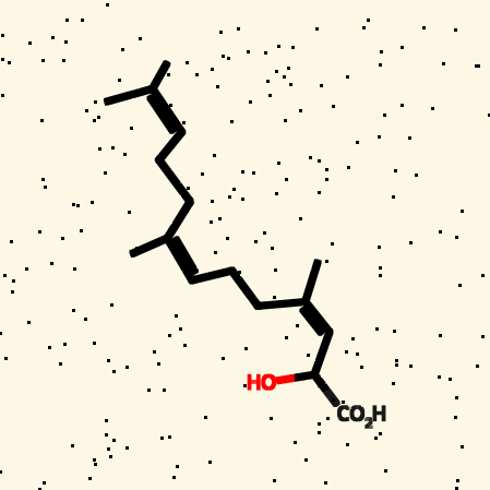 CC(C)=CCCC(C)=CCCC(C)=CC(O)C(=O)O